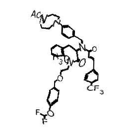 CC(=O)N1CCN(c2ccc(CN(C(=O)C=Cc3ccc(C(F)(F)F)cc3)C(Cc3ccccc3)C(=O)N(C)CCOCc3ccc(OC(F)F)cc3)cc2)CC1